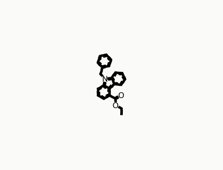 CCOC(=O)c1cccc2c1c1ccccc1n2Cc1ccccc1